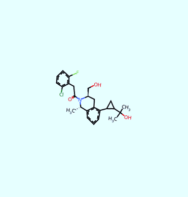 C[C@H]1c2cccc(C3CC3C(C)(C)O)c2C[C@H](CO)N1C(=O)Cc1c(F)cccc1Cl